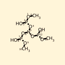 COP(O)ON(OP(O)OC)OP(O)OC